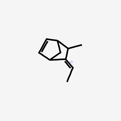 C/C=C1\C2C=CC(C2)C1C